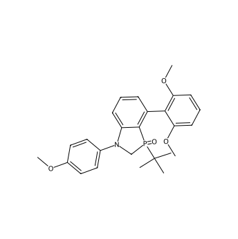 COc1ccc(N2CP(=O)(C(C)(C)C)c3c(-c4c(OC)cccc4OC)cccc32)cc1